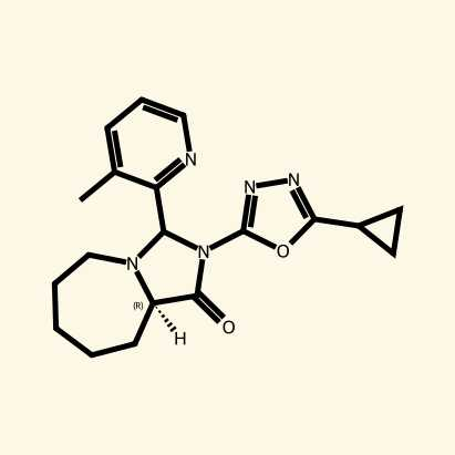 Cc1cccnc1C1N(c2nnc(C3CC3)o2)C(=O)[C@H]2CCCCCN12